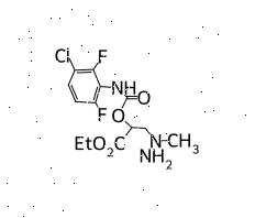 CCOC(=O)C(CN(C)N)OC(=O)Nc1c(F)ccc(Cl)c1F